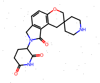 O=C1CCC(N2Cc3ccc4c(c3C2=O)CC2(CCNCC2)CO4)C(=O)N1